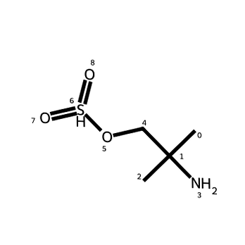 CC(C)(N)CO[SH](=O)=O